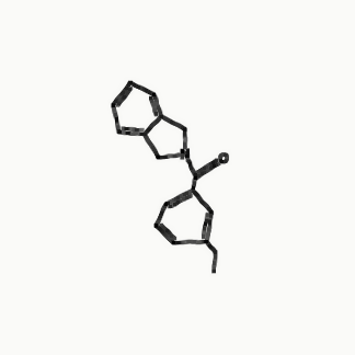 CCc1cccc(C(=O)N2Cc3ccccc3C2)c1